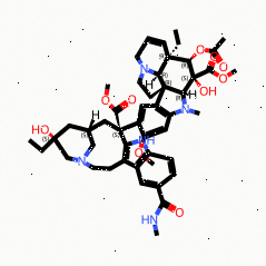 CC[C@]1(O)C[C@H]2CN(CCc3c([nH]c4ccc(C(=O)NC)cc34)[C@@](C(=O)OC)(c3cc4c(cc3OC)N(C)[C@H]3[C@@](O)(C(=O)OC)[C@H](OC(C)=O)[C@]5(CC)C=CCN6CC[C@]43[C@@H]65)C2)C1